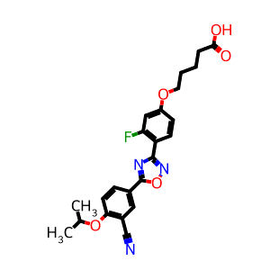 CC(C)Oc1ccc(-c2nc(-c3ccc(OCCCCC(=O)O)cc3F)no2)cc1C#N